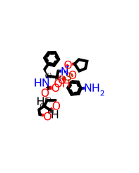 Nc1cccc(S(=O)(=O)N(C[C@@H](O)[C@H](Cc2ccccc2)NC(=O)O[C@@H]2CO[C@@H]3OCC[C@@H]32)OC2CCCC2)c1